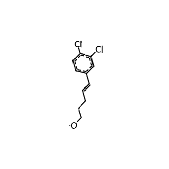 [O]CCC/C=C/c1ccc(Cl)c(Cl)c1